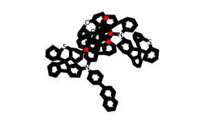 C1=CC2C(C=C1c1ccc3c(c1)C1(c4ccccc4Oc4ccccc41)c1ccc(N(c4ccc5c(c4)C4(c6ccccc6Sc6ccccc64)C4CCCCC54)c4ccccc4-c4ccccc4)cc1-3)Sc1ccccc1C21c2ccccc2-c2ccc(N(c3ccc(-c4ccc5ccccc5c4)cc3)c3ccc4c(c3)-c3ccccc3C43c4ccccc4Oc4ccccc43)cc21